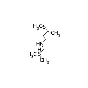 CSC(C)CCNC[SH](C)C